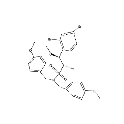 COc1ccc(CN(Cc2ccc(OC)cc2)S(=O)(=O)[C@@H](C)[C@@H](OC)c2ccc(Br)cc2Br)cc1